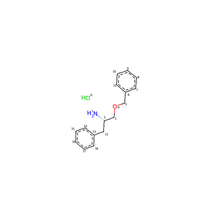 Cl.N[C@H](COCc1ccccc1)Cc1ccccc1